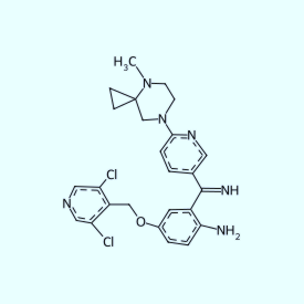 CN1CCN(c2ccc(C(=N)c3cc(OCc4c(Cl)cncc4Cl)ccc3N)cn2)CC12CC2